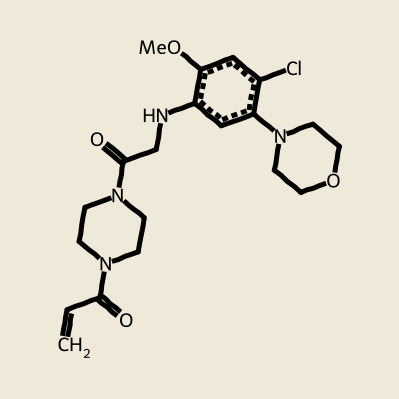 C=CC(=O)N1CCN(C(=O)CNc2cc(N3CCOCC3)c(Cl)cc2OC)CC1